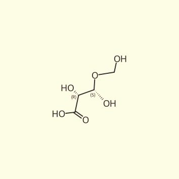 O=C(O)[C@H](O)[C@@H](O)OCO